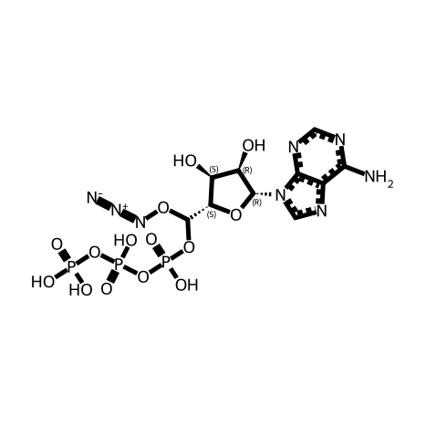 [N-]=[N+]=NOC(OP(=O)(O)OP(=O)(O)OP(=O)(O)O)[C@H]1O[C@@H](n2cnc3c(N)ncnc32)[C@H](O)[C@@H]1O